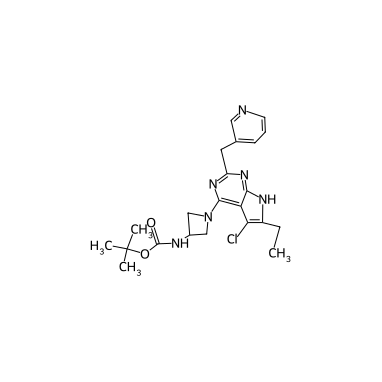 CCc1[nH]c2nc(Cc3cccnc3)nc(N3CC(NC(=O)OC(C)(C)C)C3)c2c1Cl